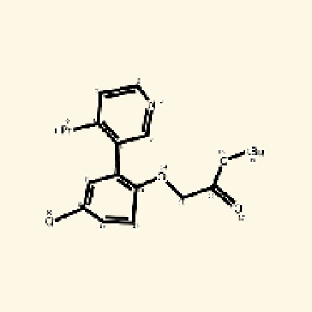 CCCc1ccncc1-c1cc(Cl)ccc1OCC(=O)OC(C)(C)C